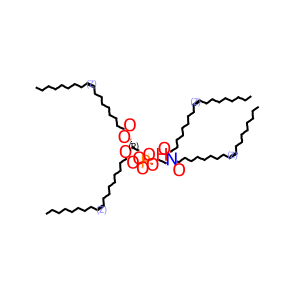 CCCCCCCC/C=C\CCCCCCCC(=O)OC[C@H](COP(=O)(O)OCCN(C(=O)CCCCCCC/C=C\CCCCCCCC)C(=O)CCCCCCC/C=C\CCCCCCCC)OC(=O)CCCCCCC/C=C\CCCCCCCC